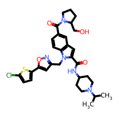 CC(C)N1CCC(NC(=O)c2cc3cc(C(=O)N4CCCC4CO)ccc3n2Cc2cc(-c3ccc(Cl)s3)on2)CC1